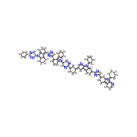 c1ccc(-c2ncc(-n3c4ccccc4c4c(-c5nsc(-c6cccc7c6c6ccccc6n7-c6cnc(-c7cccc(-c8cnc9c(c8)c8ccc(-c%10nsc(-c%11ccc%12c%13cccnc%13n(-c%13ccccc%13)c%12c%11)n%10)cc8n9-c8ccccc8)c7)nc6)n5)cccc43)cn2)cc1